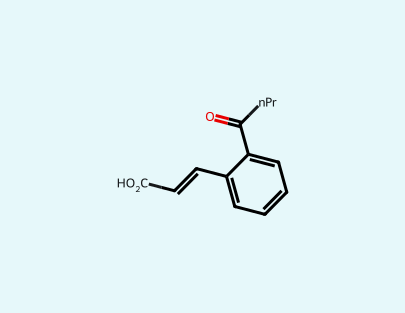 CCCC(=O)c1ccccc1C=CC(=O)O